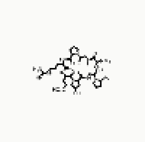 CNC(C)C(=O)NCC(=O)N1CCCC1C(=O)NC(CCCNC(=N)N)C(=O)NC(CCC(=O)O)C(=O)N1CC(O)CC1C(=O)NCC(=O)N1CCCC1C(C)=O